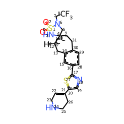 O=S1(=O)NC2(CN1CC(F)(F)F)C1CC[C@@H]2Cc2cc(-c3ncc(C4=CCNCC4)s3)ccc2C1